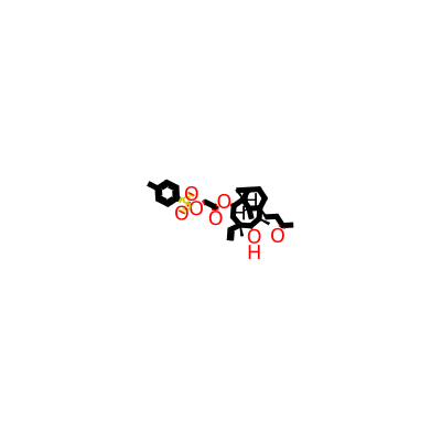 C=C[C@]1(C)C[C@@H](OC(=O)COS(=O)(=O)c2ccc(C)cc2)[C@]23C[C@@H]2CC[C@@](CCC(C)=O)([C@H]3C)[C@@H](C)[C@@H]1O